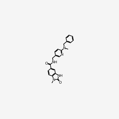 CN(Cc1ccccc1)c1ccc(CNC(=O)c2ccc3c(c2)[nH]c(=O)n3C)cn1